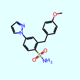 COc1ccc(Cc2cc(-n3cccn3)ccc2S(N)(=O)=O)cc1